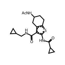 CC(=O)NC1CCc2sc(NC(=O)C3CC3)c(C(=O)NCC3CC3)c2C1